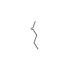 CCC[Si]C